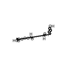 C[C@H](CCC(=O)NCCCCCCCCCCCC(=O)NCCOCCOCCOCCOP(=O)(O)C(C)(C)C)C1CCC2C3CCC4C[C@H](O)CC[C@]4(C)C3CC[C@@]21C